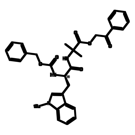 CC(C)(NC(=O)[C@@H](Cc1cn(C(C)(C)C)c2ccccc12)NC(=O)OCc1ccccc1)C(=O)OCC(=O)c1ccccc1